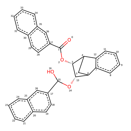 O=C(O[C@@H]1C2CC(c3ccccc32)[C@@H]1OC(O)c1ccc2ccccc2c1)c1ccc2ccccc2c1